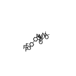 Cc1nc(Cn2nnc3ccc(-c4ccc(OC(F)(F)F)cc4)cc3c2=O)oc1C